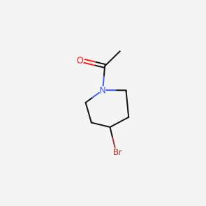 CC(=O)N1CCC(Br)CC1